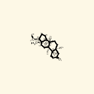 C[C@]12C=CC(=O)C[C@@H]1CC[C@@H]1[C@@H]2CC[C@]2(C)[C@@H](OI)CC[C@@H]12